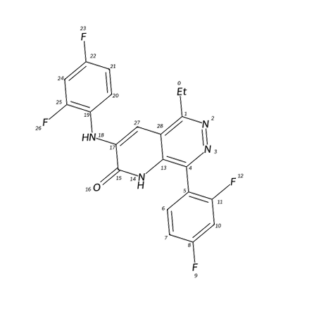 CCc1nnc(-c2ccc(F)cc2F)c2[nH]c(=O)c(Nc3ccc(F)cc3F)cc12